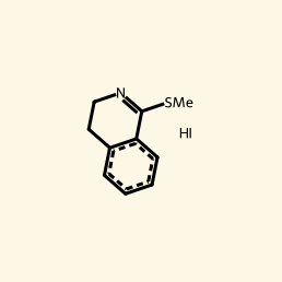 CSC1=NCCc2ccccc21.I